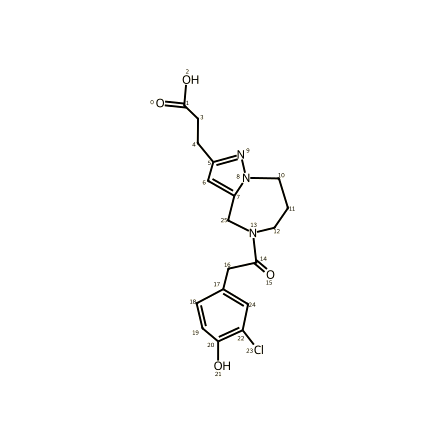 O=C(O)CCc1cc2n(n1)CCCN(C(=O)Cc1ccc(O)c(Cl)c1)C2